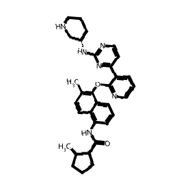 Cc1ccc2c(NC(=O)C3CCCC3C)cccc2c1Oc1ncccc1-c1ccnc(N[C@H]2CCCNC2)n1